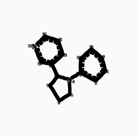 [c]1ccc(N2CCCC2c2cccnc2)cc1